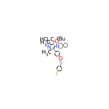 Cc1nc(C)c([C@H](OC(C)(C)C)C(=O)O)c(N2CCC3(CCCC3)CC2)c1-c1ccc(OCCc2ccc(F)cc2)cc1